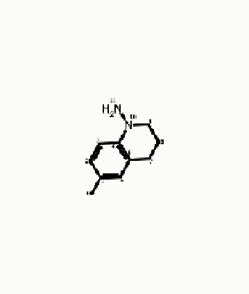 Cc1ccc2c(c1)CCCN2N